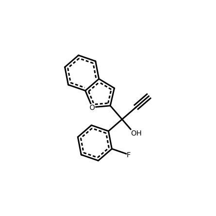 C#CC(O)(c1cc2ccccc2o1)c1ccccc1F